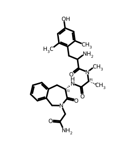 Cc1cc(O)cc(C)c1CC(N)C(=O)N(C)[C@H](C)C(=O)N[C@H]1Cc2ccccc2CN(CC(N)=O)C1=O